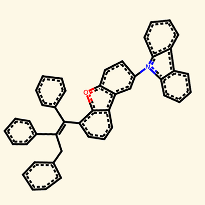 c1ccc(C/C(=C(/c2ccccc2)c2cccc3c2oc2ccc(-n4c5ccccc5c5ccccc54)cc23)c2ccccc2)cc1